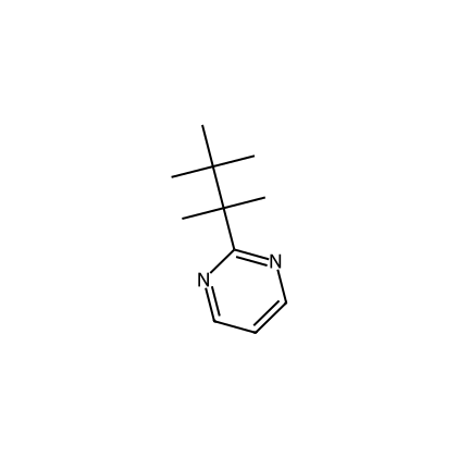 CC(C)(C)C(C)(C)c1ncccn1